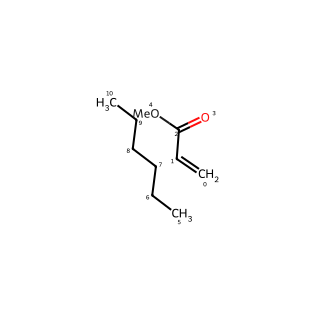 C=CC(=O)OC.CCCCCC